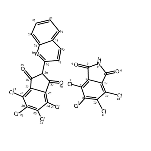 O=C1NC(=O)c2c(Cl)c(Cl)c(Cl)c(Cl)c21.O=C1c2c(Cl)c(Cl)c(Cl)c(Cl)c2C(=O)C1c1ccc2ccccc2n1